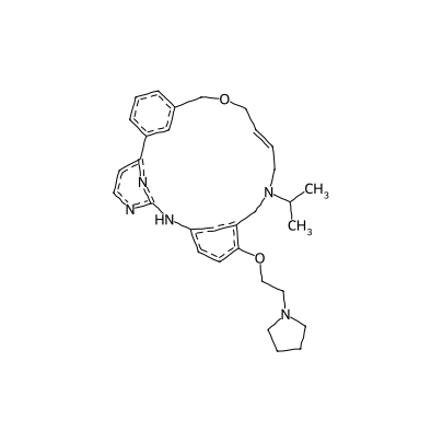 CC(C)N1C/C=C/COCc2cccc(c2)-c2ccnc(n2)Nc2ccc(OCCN3CCCC3)c(c2)C1